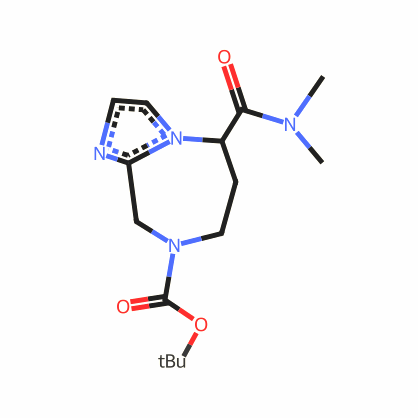 CN(C)C(=O)C1CCN(C(=O)OC(C)(C)C)Cc2nccn21